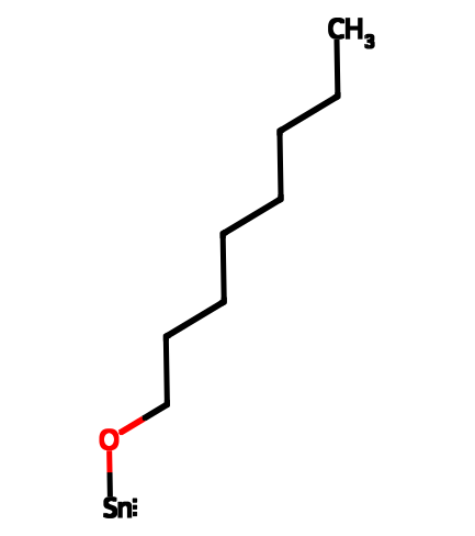 CCCCCCCC[O][Sn]